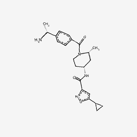 C[C@@H]1C[C@H](NC(=O)c2cc(C3CC3)on2)CCN1C(=O)c1ccc([C@@H](C)N)cc1